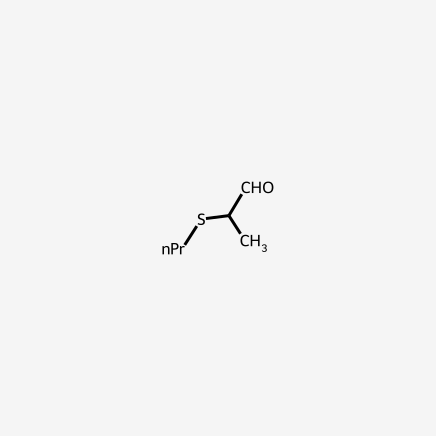 CCCSC(C)C=O